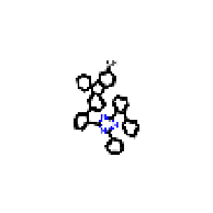 N#Cc1ccc2c(c1)C1(CCCCC1)c1cc(-c3ccccc3-c3nc(-c4ccccc4)nc(-c4ccccc4-c4ccccc4)n3)ccc1-2